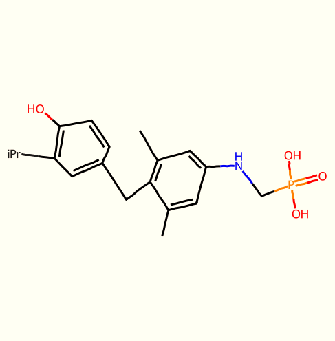 Cc1cc(NCP(=O)(O)O)cc(C)c1Cc1ccc(O)c(C(C)C)c1